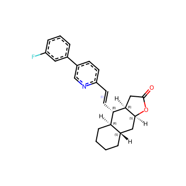 O=C1C[C@@H]2[C@@H](/C=C/c3ccc(-c4cccc(F)c4)cn3)[C@@H]3CCCC[C@H]3C[C@@H]2O1